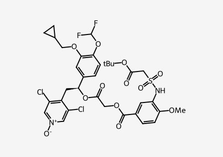 COc1ccc(C(=O)OCC(=O)O[C@@H](Cc2c(Cl)c[n+]([O-])cc2Cl)c2ccc(OC(F)F)c(OCC3CC3)c2)cc1NS(=O)(=O)CC(=O)OC(C)(C)C